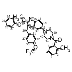 Cc1ccccc1C(=O)N1CCN(c2ccc3nc(C(C)Oc4ccccc4)n(Cc4ccc(OC(F)(F)F)cc4)c3c2)CC1